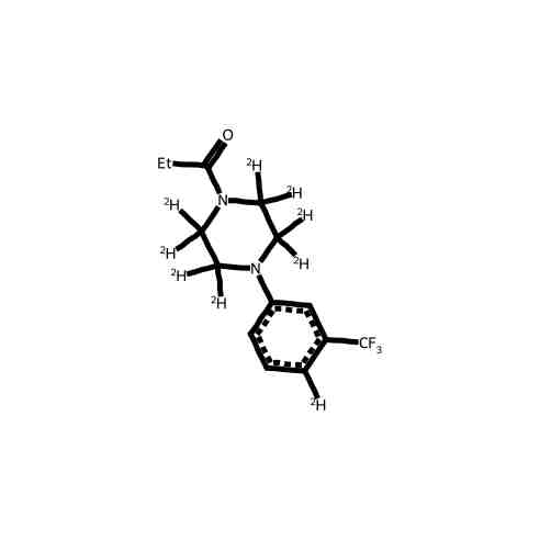 [2H]c1ccc(N2C([2H])([2H])C([2H])([2H])N(C(=O)CC)C([2H])([2H])C2([2H])[2H])cc1C(F)(F)F